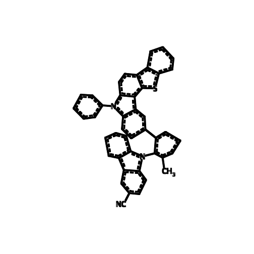 Cc1cccc(-c2ccc3c(c2)c2c4sc5ccccc5c4ccc2n3-c2ccccc2)c1-n1c2ccccc2c2cc(C#N)ccc21